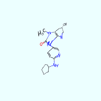 Cn1c(=O)n(-c2ccc(NC3CCCC3)nc2)c2ncc(C#N)cc21